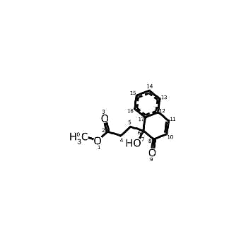 COC(=O)CCC1(O)C(=O)C=Cc2ccccc21